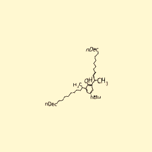 CCCCCCCCCCCCCCCCCCC(C)c1cc(CCCC)cc(C(C)CCCCCCCCCCCCCCCCCC)c1O